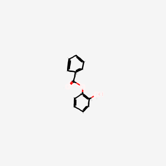 O=C(Oc1[c]cccc1O)c1ccccc1